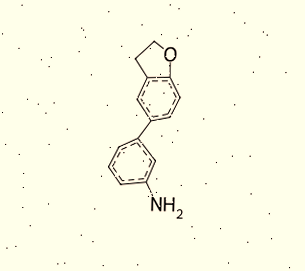 Nc1cccc(-c2ccc3c(c2)CCO3)c1